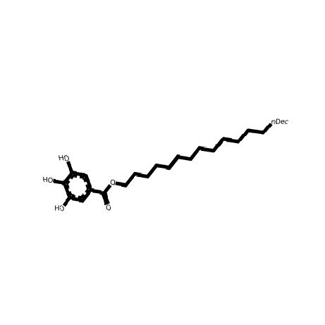 CCCCCCCCCCCCCCCCCCCCCCCOC(=O)c1cc(O)c(O)c(O)c1